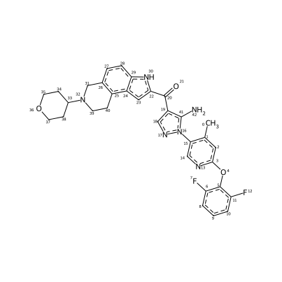 Cc1cc(Oc2c(F)cccc2F)ncc1-n1ncc(C(=O)c2cc3c4c(ccc3[nH]2)CN(C2CCOCC2)CC4)c1N